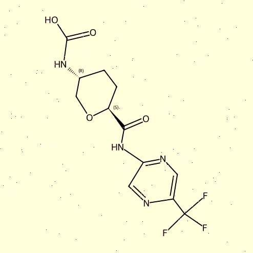 O=C(O)N[C@@H]1CC[C@@H](C(=O)Nc2cnc(C(F)(F)F)cn2)OC1